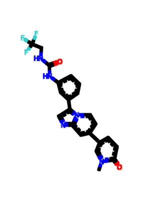 Cn1cc(-c2ccn3c(-c4cccc(NC(=O)NCC(F)(F)F)c4)cnc3c2)ccc1=O